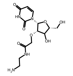 NCCNC(=O)CO[C@H]1C(O)[C@@H](CO)O[C@H]1n1ccc(=O)[nH]c1=O